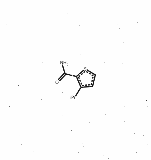 CC(C)c1ccsc1C(N)=O